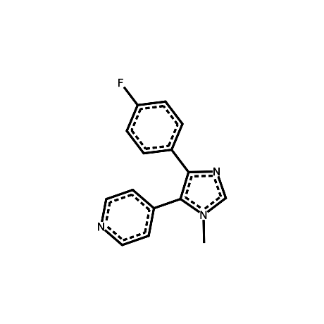 Cn1cnc(-c2ccc(F)cc2)c1-c1ccncc1